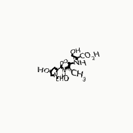 C[C@H](NC(=O)[C@@H]1C[C@@H](O)CN1C=O)C(=O)N[C@@H](CO)C(=O)O